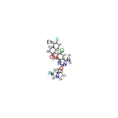 CCc1c(F)ccc2c(-c3c(Cl)cc4c(N(C)C)nc(OC[C@@]56CCCN5C[C@H](F)C6)nc4c3F)c(O)ccc12